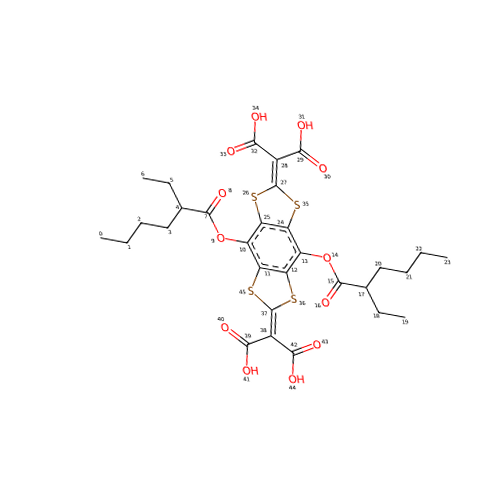 CCCCC(CC)C(=O)Oc1c2c(c(OC(=O)C(CC)CCCC)c3c1SC(=C(C(=O)O)C(=O)O)S3)SC(=C(C(=O)O)C(=O)O)S2